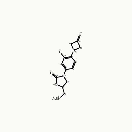 CC(=O)NCC1CN(c2ccc(N3CC(=O)C3)c(F)c2)C(=O)O1